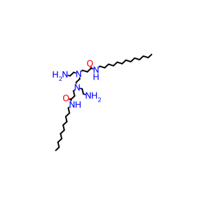 CCCCCCCCCCCCCNC(=O)CCN(CCN)CCN(CCN)CCC(=O)NCCCCCCCCCCC